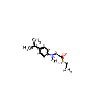 CCSC(=O)CN(C)c1ccc(C(C)C)cc1